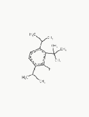 CC(C)c1ccc(C(C)C)c(C(C)(C)C)c1F